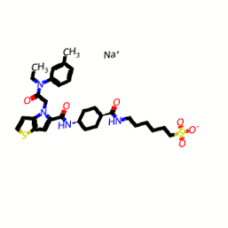 CCN(C(=O)Cn1c(C(=O)N[C@H]2CC[C@H](C(=O)NCCCCCCS(=O)(=O)[O-])CC2)cc2sccc21)c1cccc(C)c1.[Na+]